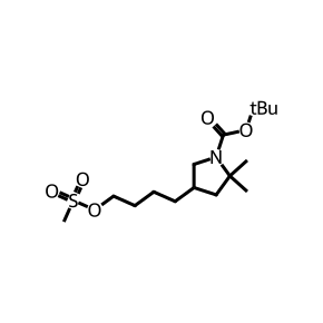 CC(C)(C)OC(=O)N1CC(CCCCOS(C)(=O)=O)CC1(C)C